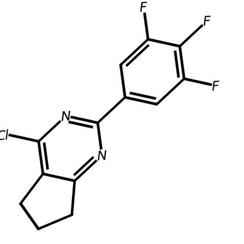 Fc1cc(-c2nc(Cl)c3c(n2)CCC3)cc(F)c1F